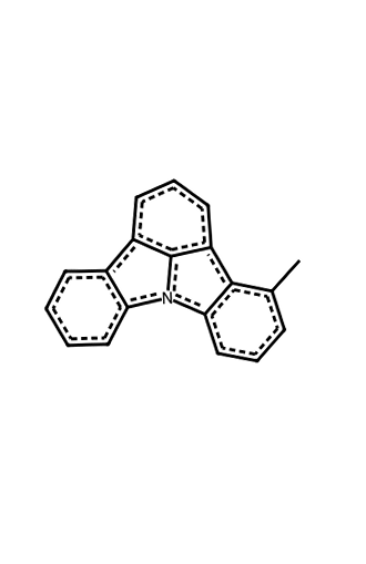 Cc1cccc2c1c1cccc3c4ccccc4n2c31